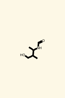 CC(CO)C(C)NC=O